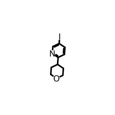 Ic1ccc(C2CCOCC2)nc1